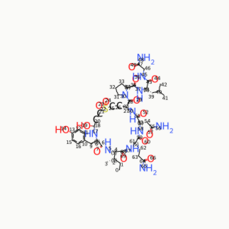 CC[C@H](C)[C@@H]1NC(=O)[C@@H](Cc2ccc(O)cc2)NC(O)CCS(=O)(=O)CC[C@@H](C(=O)N2CCC[C@H]2C(=O)N[C@@H](CC(C)C)C(=O)NCC(N)=O)NC(=O)[C@H](CC(N)=O)NC(=O)[C@H](CCC(N)=O)NC1=O